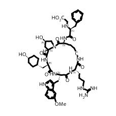 COc1ccc2[nH]cc(C[C@@H]3NC(=O)[C@@H](C[C@H]4CC[C@@H](O)CC4)NC(=O)[C@@H]4C[C@@H](O)CN4C(=O)[C@@H](NC(=O)[C@H](Cc4ccccc4)NCC(=O)O)CCCNC(=O)[C@H](CCCNC(=N)N)NC3=O)c2c1